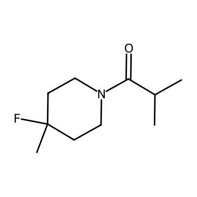 CC(C)C(=O)N1CCC(C)(F)CC1